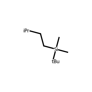 CC(C)CC[Si](C)(C)C(C)(C)C